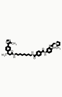 Cc1ncsc1-c1ccc([C@@H](C)CC(=O)NCCCCCCCCNC(=O)c2ccc(C(=O)Nc3ccc4[nH]c(CN5CCC[C@@H]5C)nc4c3)cc2)cc1